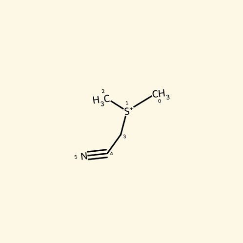 C[S+](C)CC#N